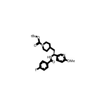 COc1ccc([C@H](CC2CCN(C(=O)OC(C)(C)C)CC2)NC(=O)c2ccc(F)cc2)cn1